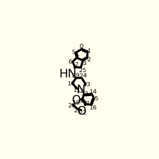 c1ccc2c(c1)CC(NC1CCN(c3cccc4c3OCCO4)CC1)C2